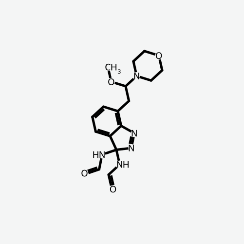 COC(Cc1cccc2c1N=NC2(NC=O)NC=O)N1CCOCC1